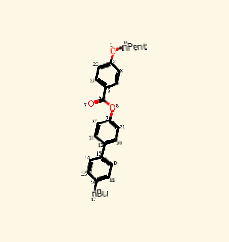 CCCCCOc1ccc(C(=O)Oc2ccc(-c3ccc(CCCC)cc3)cc2)cc1